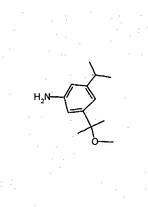 COC(C)(C)c1cc(N)cc([C](C)C)c1